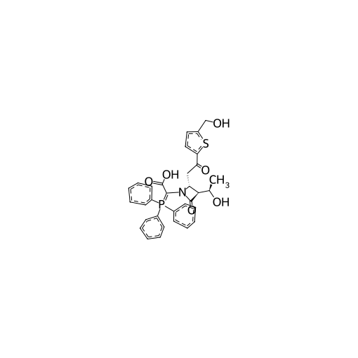 C[C@@H](O)[C@H]1C(=O)N(C(C(=O)O)=P(c2ccccc2)(c2ccccc2)c2ccccc2)[C@@H]1CC(=O)c1ccc(CO)s1